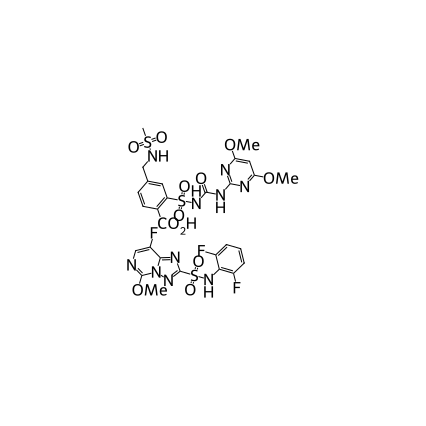 COc1cc(OC)nc(NC(=O)NS(=O)(=O)c2cc(CNS(C)(=O)=O)ccc2C(=O)O)n1.COc1ncc(F)c2nc(S(=O)(=O)Nc3c(F)cccc3F)nn12